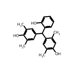 Cc1cc(C(c2cc(C)c(O)c(C)c2)c2ccccc2O)c(C)cc1O